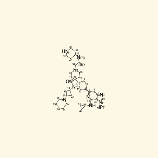 CC(C)n1cnc2cc(-c3ccc4c(c3)N(C3CC(N5CCCCC5)C3)C(=O)C43CCN(CC(=O)N(C)C4CCNCC4)CC3)nc(NC3CC3)c21